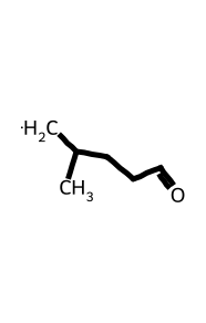 [CH2]C(C)CCC=O